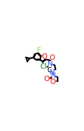 O=C(c1oc2c(F)cc(C3CC3)cc2c1Cl)N1CCN(N2CCOC2=O)CC1